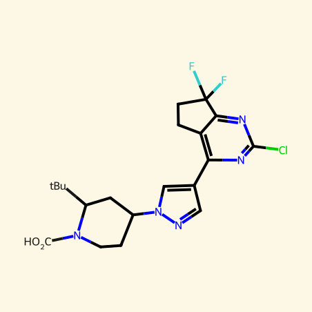 CC(C)(C)C1CC(n2cc(-c3nc(Cl)nc4c3CCC4(F)F)cn2)CCN1C(=O)O